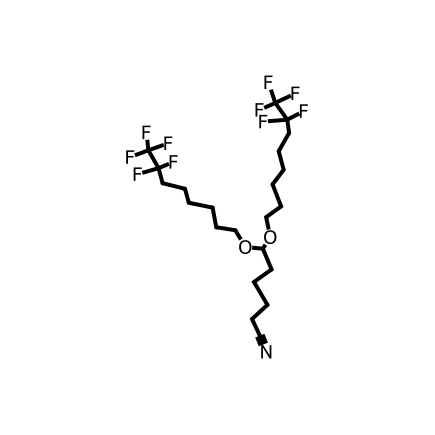 N#CCCCCC(OCCCCCCC(F)(F)C(F)(F)F)OCCCCCCC(F)(F)C(F)(F)F